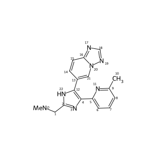 CNCc1nc(-c2cccc(C)n2)c(-c2ccc3ncnn3c2)[nH]1